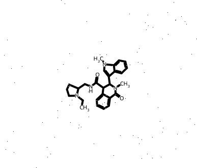 CCN1CCCC1CNC(=O)C1c2ccccc2C(=O)N(C)C1c1cn(C)c2ccccc12